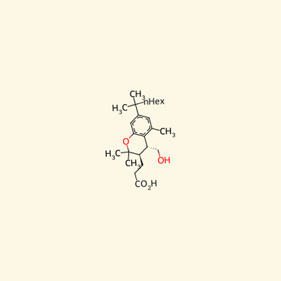 CCCCCCC(C)(C)c1cc(C)c2c(c1)OC(C)(C)[C@H](CCC(=O)O)[C@H]2CO